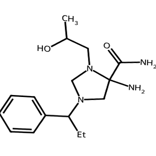 CCC(c1ccccc1)N1CN(CC(C)O)C(N)(C(N)=O)C1